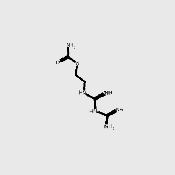 N=C(N)NC(=N)NCCOC(N)=O